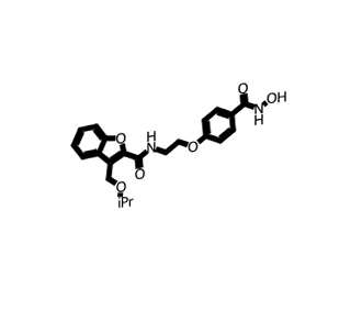 CC(C)OCc1c(C(=O)NCCOc2ccc(C(=O)NO)cc2)oc2ccccc12